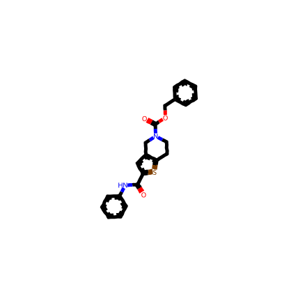 O=C(Nc1ccccc1)c1cc2c(s1)CCN(C(=O)OCc1ccccc1)C2